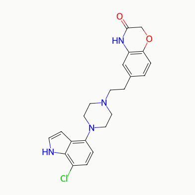 O=C1COc2ccc(CCN3CCN(c4ccc(Cl)c5[nH]ccc45)CC3)cc2N1